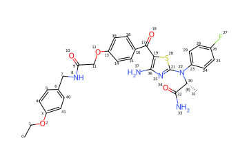 CCOc1ccc(CNC(=O)COc2ccc(C(=O)c3sc(N(c4ccc(F)cc4)[C@H](C)C(N)=O)nc3N)cc2)cc1